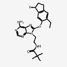 CCc1cc2c(cc1Sc1nc3c(N)ncnc3n1CCNC(=O)C(C)(C)C)C(F)CC2